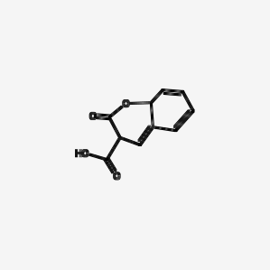 O=C(O)C1C=C2C=CC=CC2OC1=O